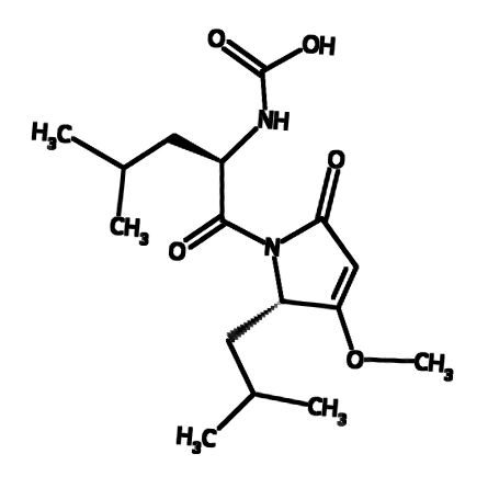 COC1=CC(=O)N(C(=O)[C@@H](CC(C)C)NC(=O)O)[C@H]1CC(C)C